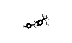 CC(N)c1ccc2oc(-c3ccc(F)cc3)nc2c1